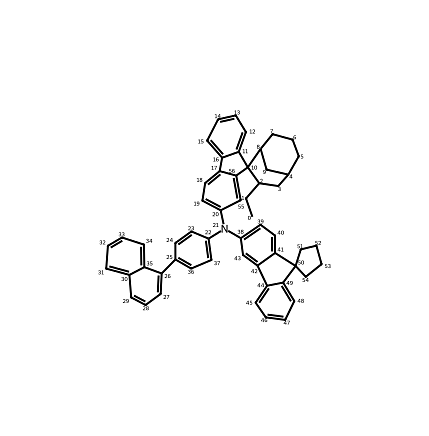 CCC1CC2CCCC(C2)C12c1ccccc1-c1ccc(N(c3ccc(-c4cccc5ccccc45)cc3)c3ccc4c(c3)-c3ccccc3C43CCCC3)cc12